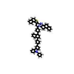 c1ccc(-n2c3ccccc3c3cc(-c4ccc(-c5ccc(-c6ccc(-c7cc8c(sc9ccc%10ccccc%10c98)c8nc9c%10ccc%11ccccc%11c%10ccc9n78)cc6)c6ccccc56)cc4)ccc32)cc1